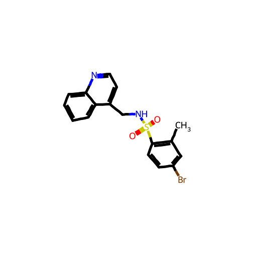 Cc1cc(Br)ccc1S(=O)(=O)NCc1ccnc2ccccc12